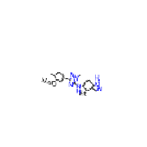 CCc1c(Nc2nc(-c3ccc(C)c(OC)c3)nn2C)ccc2[nH]ncc12